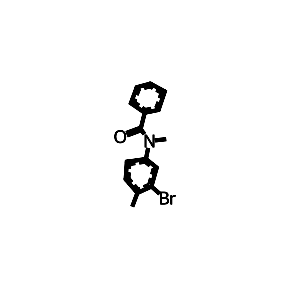 Cc1ccc(N(C)C(=O)c2ccccc2)cc1Br